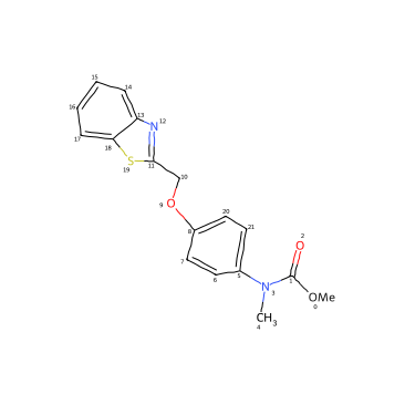 COC(=O)N(C)c1ccc(OCc2nc3ccccc3s2)cc1